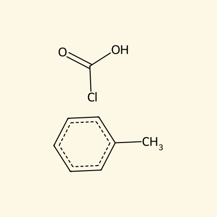 Cc1ccccc1.O=C(O)Cl